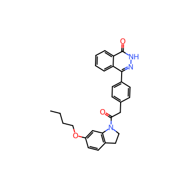 CCCCOc1ccc2c(c1)N(C(=O)Cc1ccc(-c3n[nH]c(=O)c4ccccc34)cc1)CC2